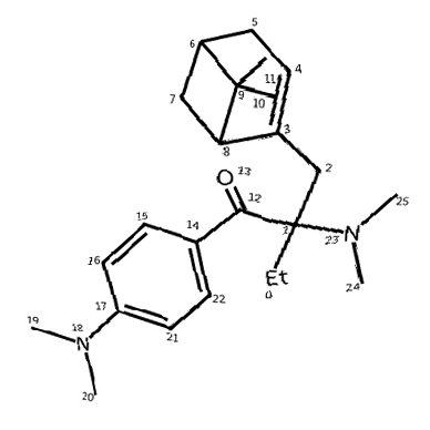 CCC(CC1=CCC2CC1C2(C)C)(C(=O)c1ccc(N(C)C)cc1)N(C)C